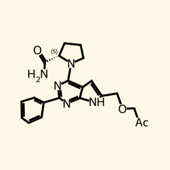 CC(=O)COCc1cc2c(N3CCC[C@H]3C(N)=O)nc(-c3ccccc3)nc2[nH]1